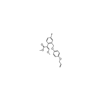 C=CCOc1ccc(OCc2cc(F)ccc2C(=COC)C(=O)OC)cc1